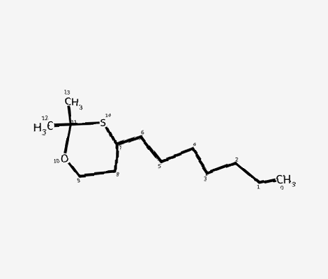 CCCCCCCC1CCOC(C)(C)S1